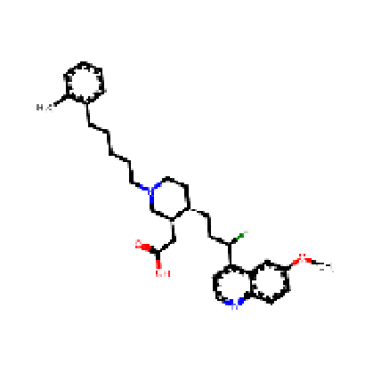 COc1ccc2nccc(C(F)CC[C@@H]3CCN(CCCCCc4ccccc4C)C[C@@H]3CC(=O)O)c2c1